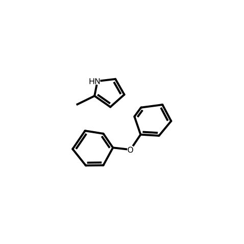 Cc1ccc[nH]1.c1ccc(Oc2ccccc2)cc1